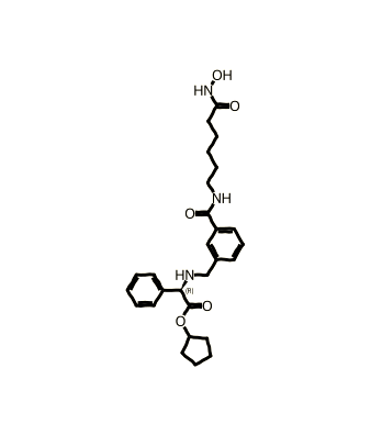 O=C(CCCCCNC(=O)c1cccc(CN[C@@H](C(=O)OC2CCCC2)c2ccccc2)c1)NO